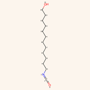 O=C=NCCCCCCCCCCCCO